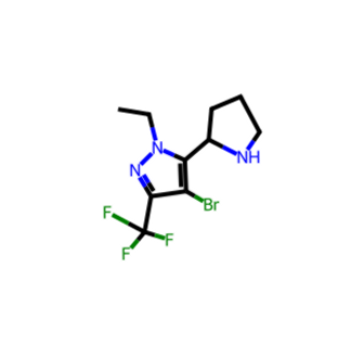 CCn1nc(C(F)(F)F)c(Br)c1C1CCCN1